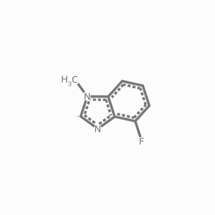 Cn1[c]nc2c(F)cccc21